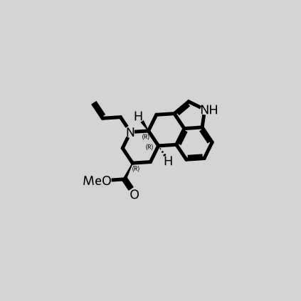 C=CCN1C[C@H](C(=O)OC)C[C@@H]2c3cccc4[nH]cc(c34)C[C@H]21